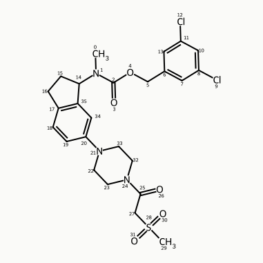 CN(C(=O)OCc1cc(Cl)cc(Cl)c1)C1CCc2ccc(N3CCN(C(=O)CS(C)(=O)=O)CC3)cc21